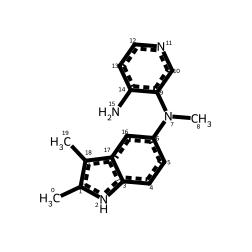 Cc1[nH]c2ccc(N(C)c3cnccc3N)cc2c1C